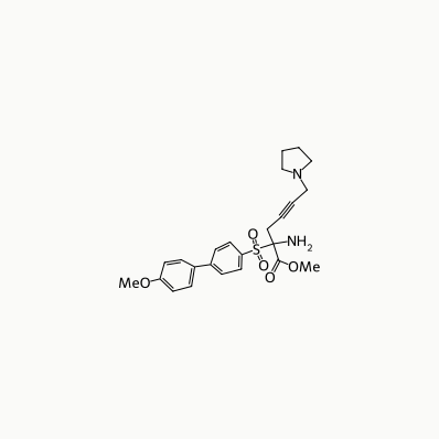 COC(=O)C(N)(CC#CCN1CCCC1)S(=O)(=O)c1ccc(-c2ccc(OC)cc2)cc1